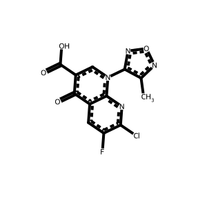 Cc1nonc1-n1cc(C(=O)O)c(=O)c2cc(F)c(Cl)nc21